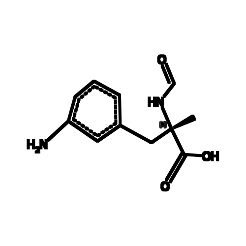 C[C@@](Cc1cccc(N)c1)(NC=O)C(=O)O